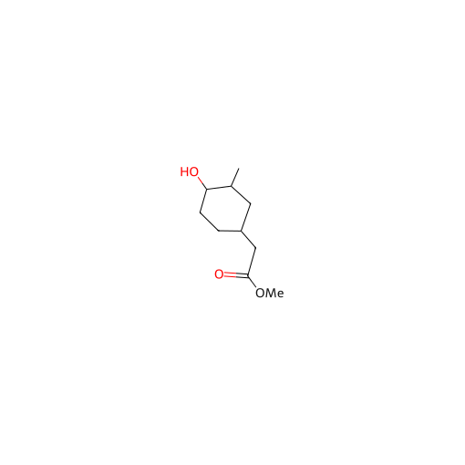 COC(=O)CC1CCC(O)C(C)C1